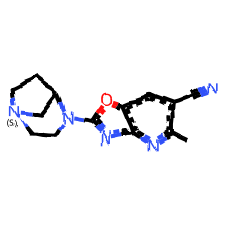 Cc1nc2nc(N3CC[N@@]4CCC3C4)oc2cc1C#N